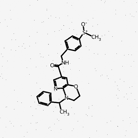 CC(c1ccccc1)N1CCOc2cc(C(=O)NCc3ccc([S+](C)[O-])cc3)cnc21